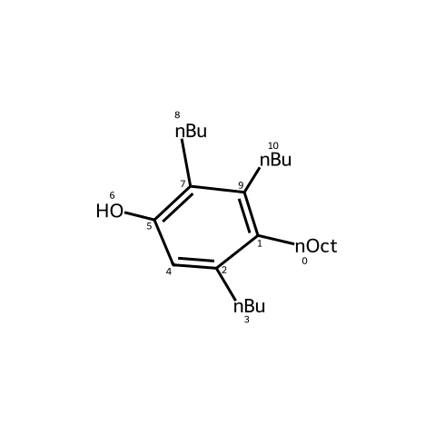 CCCCCCCCc1c(CCCC)cc(O)c(CCCC)c1CCCC